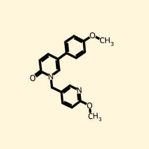 COc1ccc(-c2ccc(=O)n(Cc3ccc(OC)nc3)c2)cc1